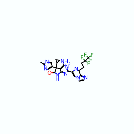 Cc1ncc(C2(C3CC3)C(=O)Nc3nc(-c4cn5ccnc5c(CCC(F)(F)C(F)(F)F)n4)nc(N)c32)cn1